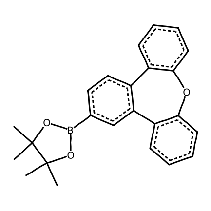 CC1(C)OB(c2ccc3c(c2)-c2ccccc2Oc2ccccc2-3)OC1(C)C